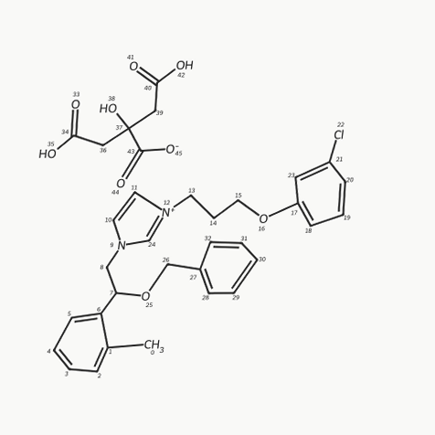 Cc1ccccc1C(Cn1cc[n+](CCCOc2cccc(Cl)c2)c1)OCc1ccccc1.O=C(O)CC(O)(CC(=O)O)C(=O)[O-]